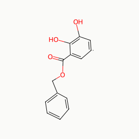 O=C(OCc1ccccc1)c1c[c]cc(O)c1O